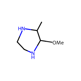 COC1NCCNC1C